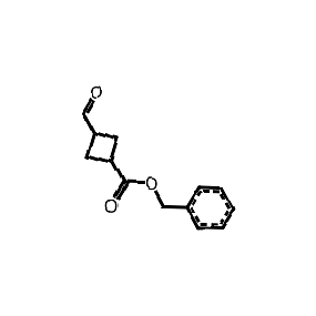 O=CC1CC(C(=O)OCc2ccccc2)C1